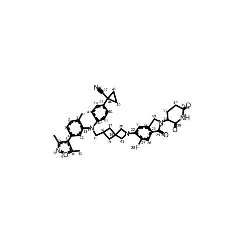 Cc1ccc(-c2c(C)noc2C)cc1N(CC1CC2(C1)CN(c1cc3c(cc1F)C(=O)N(C1CCC(=O)NC1=O)C3)C2)c1ccc(C2(C#N)CC2)cc1